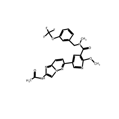 COc1ncc(-c2ccc3nc(NC(C)=O)cn3n2)cc1C(=O)N(C)Cc1cccc(OC(F)(F)F)c1